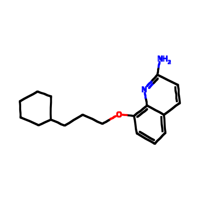 Nc1ccc2cccc(OCCCC3CCCCC3)c2n1